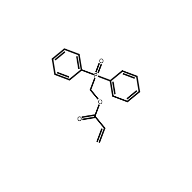 C=CC(=O)OCP(=O)(c1ccccc1)c1ccccc1